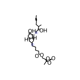 CC#CCC(C)[C@H](O)/C=C/[C@@H]1[C@H]2C/C(=C\CCCC(=O)OCc3oc(=O)oc3C)C[C@H]2C[C@H]1O